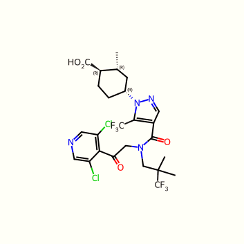 C[C@@H]1C[C@H](n2ncc(C(=O)N(CC(=O)c3c(Cl)cncc3Cl)CC(C)(C)C(F)(F)F)c2C(F)(F)F)CC[C@H]1C(=O)O